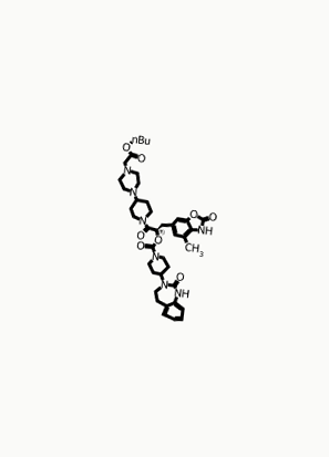 CCCCOC(=O)CN1CCN(C2CCN(C(=O)[C@@H](Cc3cc(C)c4[nH]c(=O)oc4c3)OC(=O)N3CCC(N4CCc5ccccc5NC4=O)CC3)CC2)CC1